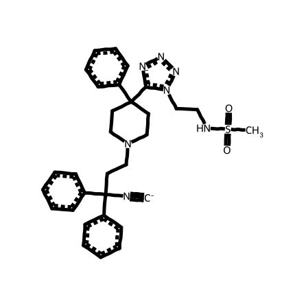 [C-]#[N+]C(CCN1CCC(c2ccccc2)(c2nnnn2CCNS(C)(=O)=O)CC1)(c1ccccc1)c1ccccc1